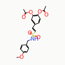 COc1ccc(CNS(=O)(=O)/C=C/c2ccc(OC(C)=O)c(OC(C)=O)c2)cc1